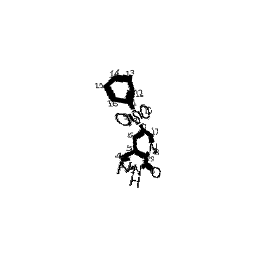 O=c1[nH]ncc2cc(S(=O)(=O)c3ccccc3)cnc12